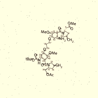 C=C1C[C@@H](CC(=O)OC)N(C(=O)c2cc(OC)c(OCCCOc3cc(NC(=O)OC(C)(C)C)c(C(=O)N4CC(=C)C[C@H]4COC(C)=O)cc3OC)cc2N)C1